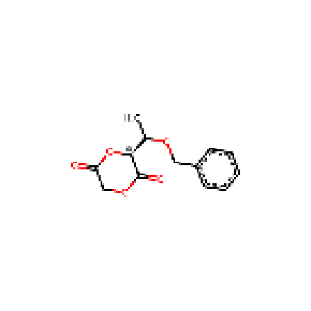 CC(OCc1ccccc1)[C@@H]1OC(=O)COC1=O